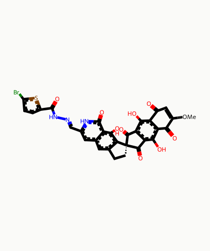 COC1=CC(=O)c2c(O)c3c(c(O)c2C1=O)C(=O)[C@]1(CCc2cc4cc(C=NNC(=O)c5ccc(Br)s5)[nH]c(=O)c4c(O)c21)C3=O